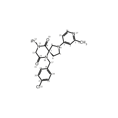 Cc1cc(N2CC[C@]3(C2)C(=O)N(C(C)C)CC(=O)N3Cc2ccc(Cl)cc2)ccn1